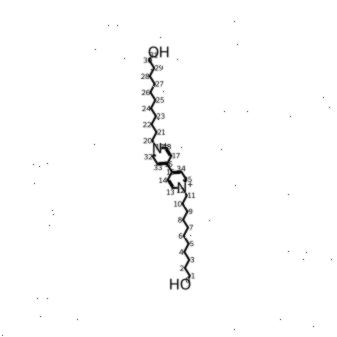 OCCCCCCCCCCC[n+]1ccc(-c2cc[n+](CCCCCCCCCCCO)cc2)cc1